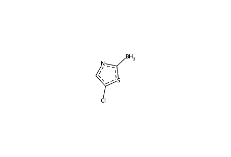 Bc1ncc(Cl)s1